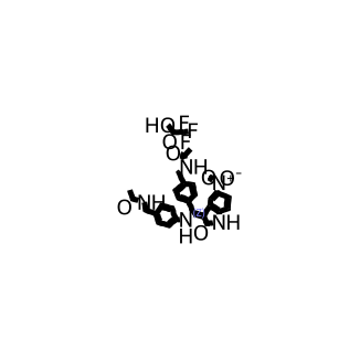 CC(=O)NCc1ccc(N/C(=C2\C(=O)Nc3ccc([N+](=O)[O-])cc32)c2ccc(CNC(C)=O)cc2)cc1.O=C(O)C(F)(F)F